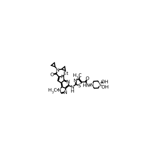 CCn1c(C(=O)N(C2CC2)C2CC2)cc2c3c(ncn3C)c(Nc3nc(C)c(C(=O)NN4CCS(O)(O)CC4)s3)nc21